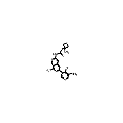 Cc1c(N)cncc1-c1cc2cc(NC(=O)OC3(C)COC3)ncc2c(N)n1